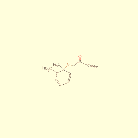 COC(=O)CSC1(C)C=CC=CC1C(=O)O